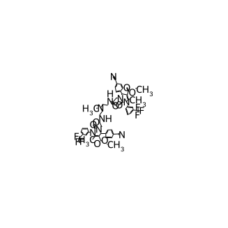 CCOC(=O)C1=C(C)N(c2cccc(C(F)(F)F)c2)C(=O)N(CC(=O)NCCN(C)CCNC(=O)CN2C(=O)N(c3cccc(C(F)(F)F)c3)C(C)=C(C(=O)OCC)C2c2ccc(C#N)cc2)C1c1ccc(C#N)cc1